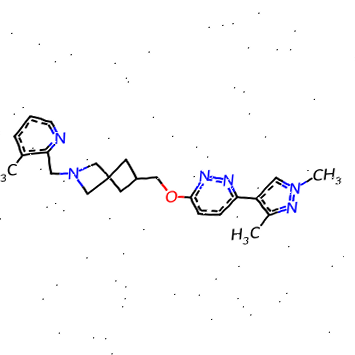 Cc1cccnc1CN1CC2(CC(COc3ccc(-c4cn(C)nc4C)nn3)C2)C1